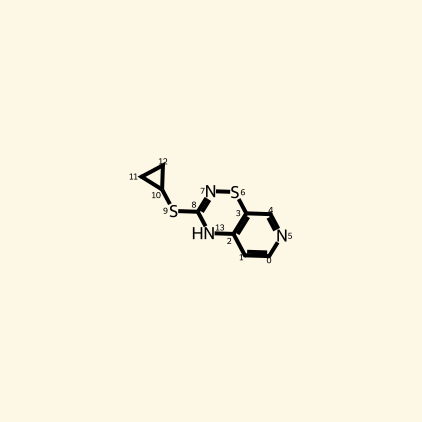 c1cc2c(cn1)SN=C(SC1CC1)N2